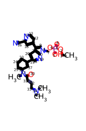 CCOP(=O)(O)OCn1cc(-c2ccnc(C#N)c2)c2cc(-c3cccc(N(C)C(=O)/C=C/CN(C)C)c3)cnc21